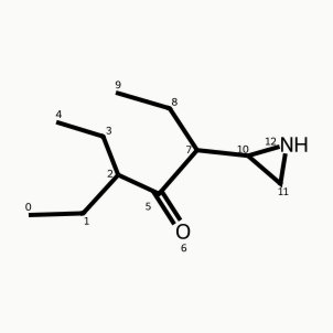 CCC(CC)C(=O)C(CC)C1CN1